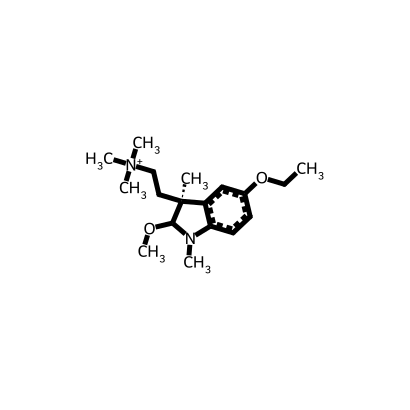 CCOc1ccc2c(c1)[C@](C)(CC[N+](C)(C)C)C(OC)N2C